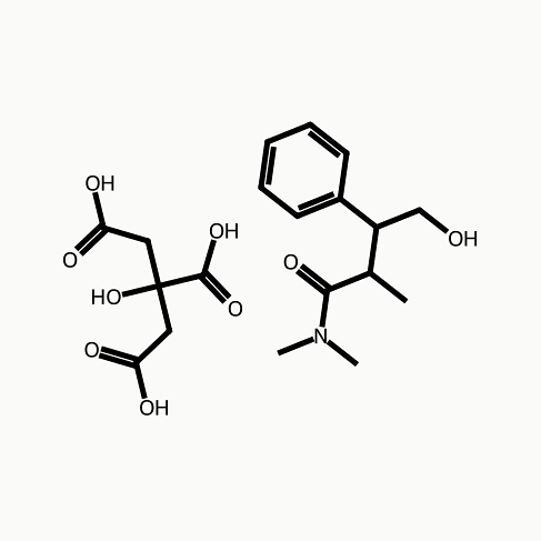 CC(C(=O)N(C)C)C(CO)c1ccccc1.O=C(O)CC(O)(CC(=O)O)C(=O)O